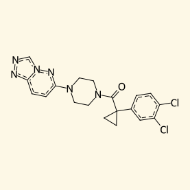 O=C(N1CCN(c2ccc3nncn3n2)CC1)C1(c2ccc(Cl)c(Cl)c2)CC1